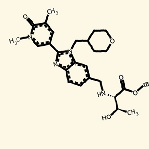 Cc1cc(-c2nc3ccc(CN[C@H](C(=O)OC(C)(C)C)[C@@H](C)O)cc3n2CC2CCOCC2)cn(C)c1=O